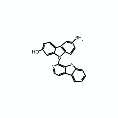 Bc1ccc2c(c1)c1ccc(O)cc1n2-c1nccc2c1sc1ccccc12